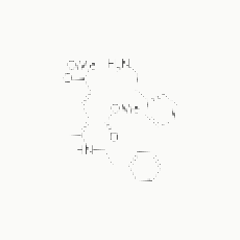 COC(=O)C=CC(C(=O)OC)=C(C)NCCc1ccccc1.NCCc1ccccc1